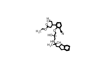 CCOC(=O)CC(CC)c1cccc(C#N)c1OC[C@H](O)CNC(C)(C)CC1Cc2ccccc2C1